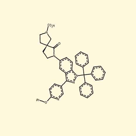 CC(C)Oc1ccc(-c2nn(C(c3ccccc3)(c3ccccc3)c3ccccc3)c3ccc(N4CC[C@]5(CCN(C(=O)O)C5)C4=O)cc23)cn1